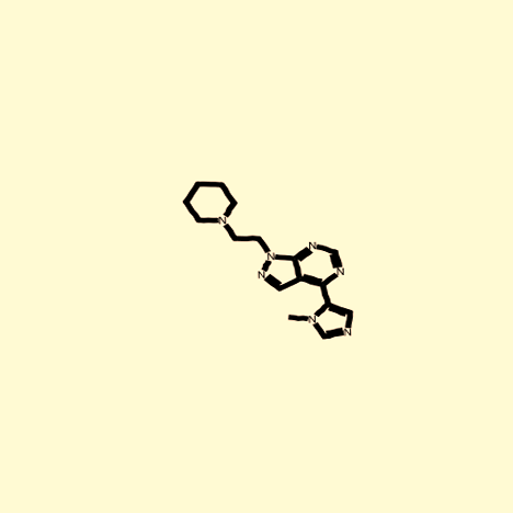 Cn1cncc1-c1ncnc2c1cnn2CCN1CCCCC1